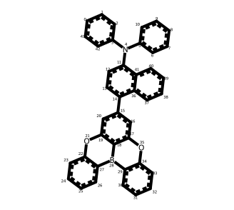 c1ccc(N(c2ccccc2)c2ccc(-c3cc4c5c(c3)Oc3ccccc3B5c3ccccc3O4)c3ccccc23)cc1